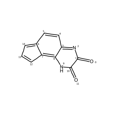 O=C1N=c2ccc3c(c2NC1=O)C=CC=3